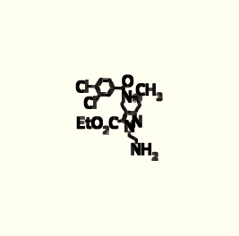 CCOC(=O)c1c2c(nn1CCN)C[C@@H](C)N(C(=O)c1ccc(Cl)c(Cl)c1)C2